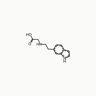 O=C(O)CNCCc1ccc2cc[nH]c2c1